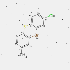 Cc1ccc(Sc2ccc(Cl)cc2)c(Br)c1